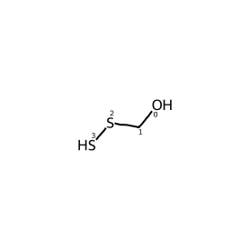 OCSS